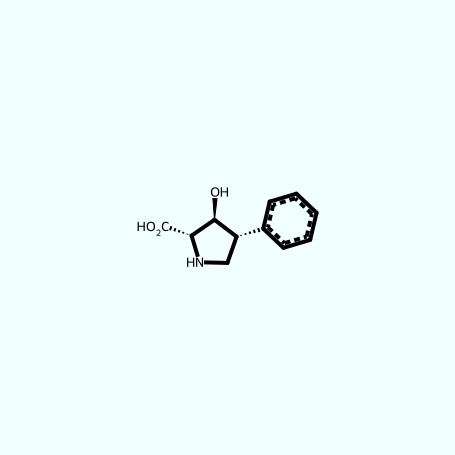 O=C(O)[C@H]1NC[C@@H](c2ccccc2)[C@@H]1O